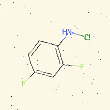 Fc1ccc(NCl)c(F)c1